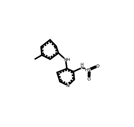 Cc1cccc(Nc2ccncc2N[SH](=O)=O)c1